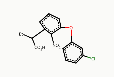 CCC(C(=O)O)c1cccc(Oc2cccc(Cl)c2)c1[N+](=O)[O-]